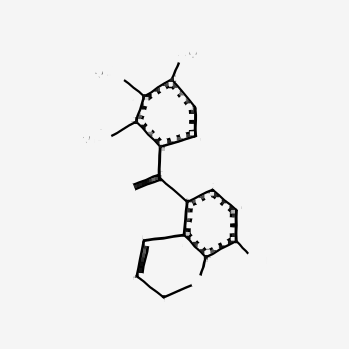 COc1ccc(C(=O)c2ccc(O)c3c2C=CCO3)c(OC)c1OC